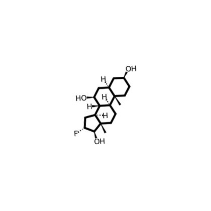 C[C@]12CC[C@H](O)C[C@@H]1C[C@H](O)[C@@H]1[C@@H]2CC[C@]2(C)[C@@H](O)[C@H](F)C[C@@H]12